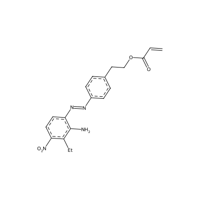 C=CC(=O)OCCc1ccc(N=Nc2ccc([N+](=O)[O-])c(CC)c2N)cc1